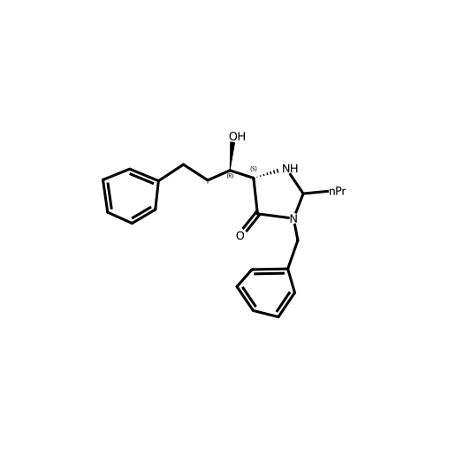 CCCC1N[C@@H]([C@H](O)[CH]Cc2ccccc2)C(=O)N1Cc1ccccc1